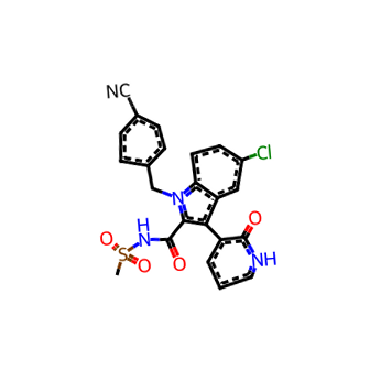 CS(=O)(=O)NC(=O)c1c(-c2ccc[nH]c2=O)c2cc(Cl)ccc2n1Cc1ccc(C#N)cc1